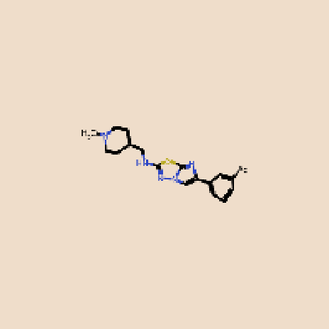 CC(=O)c1cccc(-c2cn3nc(NCC4CCN(C)CC4)sc3n2)c1